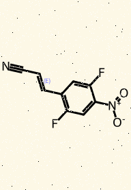 N#C/C=C/c1cc(F)c([N+](=O)[O-])cc1F